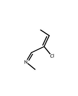 C/C=C(Cl)\C=N/C